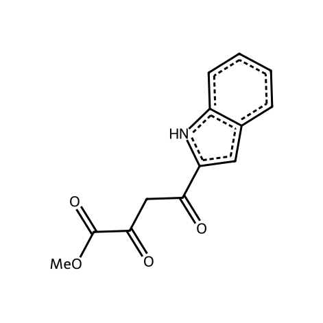 COC(=O)C(=O)CC(=O)c1cc2ccccc2[nH]1